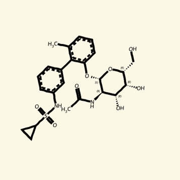 CC(=O)N[C@H]1[C@H](Oc2cccc(C)c2-c2cccc(NS(=O)(=O)C3CC3)c2)O[C@H](CO)[C@H](O)[C@@H]1O